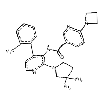 Cc1ccccc1-c1ccnc(N2CCC(P)(P)C2)c1NC(=O)c1cnc(N2CCC2)nc1